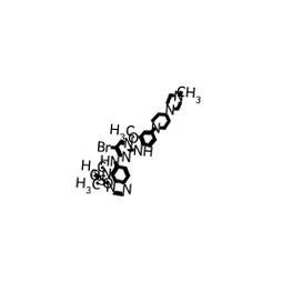 COc1cc(N2CCC(N3CCN(C)CC3)CC2)ccc1Nc1ncc(Br)c(Nc2ccc3nccnc3c2N(C)S(C)(=O)=O)n1